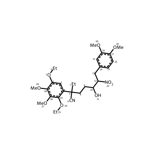 CCOc1cc(C(C#N)(CC)CCC(O)C(Cc2ccc(OC)c(OC)c2)[N+](=O)[O-])c(OCC)c(OC)c1OC